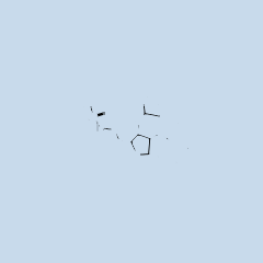 CO[C@@H]1[C@H](OC(C)C)[C@@H](CONS(C)(=O)=O)O[C@H]1C